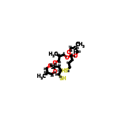 CC(COC1(CCCS)OC[SiH](C)CO1)CO[Si]1(CCCS)OCC(C)CO1